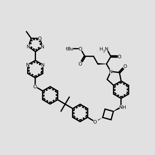 Cc1nc(-c2ncc(Oc3ccc(C(C)(C)c4ccc(O[C@H]5C[C@H](Nc6ccc7c(c6)CN([C@@H](CCC(=O)OC(C)(C)C)C(N)=O)C7=O)C5)cc4)cc3)cn2)no1